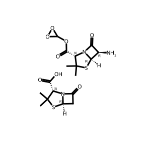 CC1(C)S[C@@H]2CC(=O)N2[C@H]1C(=O)O.CC1(C)S[C@@H]2[C@H](N)C(=O)N2[C@H]1C(=O)OC1OO1